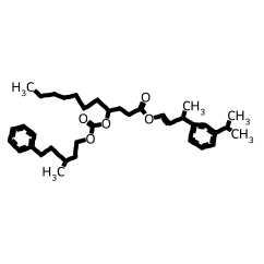 CCCCCCCC(CCC(=O)O/C=C/C(C)c1cccc(C(C)C)c1)OC(=O)OCCC(C)CCc1ccccc1